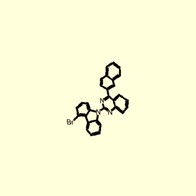 Brc1cccc2c1c1ccccc1n2-c1nc(-c2ccc3ccccc3c2)c2ccccc2n1